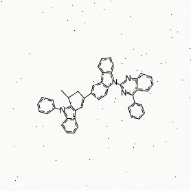 CC1CC(c2ccc3c(c2)c2ccccc2n3-c2nc(-c3ccccc3)c3ccccc3n2)=Cc2c1n(-c1ccccc1)c1ccccc21